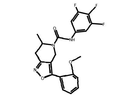 COc1ccccc1-c1onc2c1CN(C(=O)Nc1cc(F)c(F)c(F)c1)C(C)C2